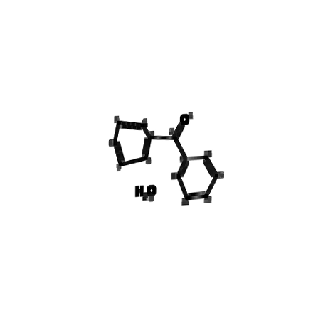 O.O=C(c1[c]cccc1)c1ccccc1